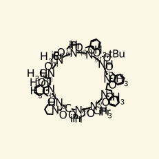 CC(C)C[C@@H]1NC(=O)[C@H](Cc2ccccc2)N(C)C(=O)[C@H](COC(C)(C)C)NC(=O)[C@H](Cc2ccccc2)N(C)C(=O)C(Cc2ccccc2)N(C)C(=O)[C@H](CC(C)C)N(C)C(=O)[C@@H](CC(C)C)NC(=O)C[C@@H](C(=O)N2CCCCC2)NC(=O)[C@H](Cc2ccccc2)N(C)C(=O)[C@H]([C@@H](C)O)NC(=O)[C@H](CC(C)C)N(C)C1=O